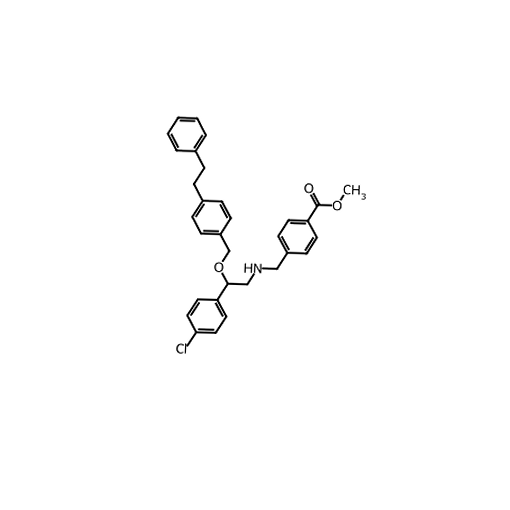 COC(=O)c1ccc(CNCC(OCc2ccc(CCc3ccccc3)cc2)c2ccc(Cl)cc2)cc1